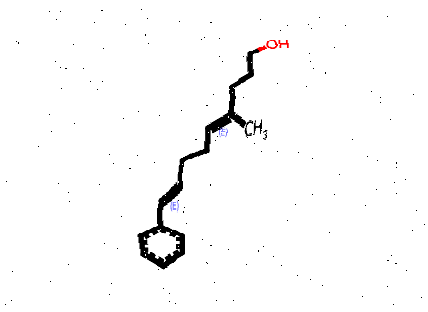 C/C(=C\CC/C=C/c1ccccc1)CCCO